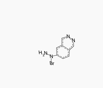 NN(Br)c1ccc2cnncc2c1